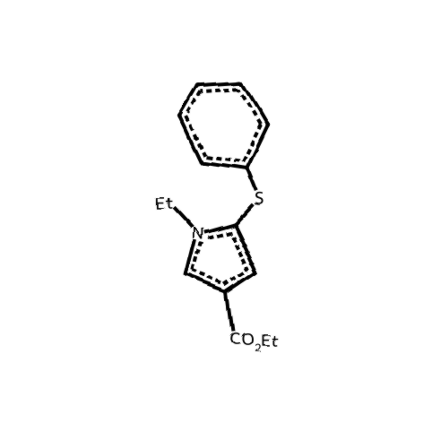 CCOC(=O)c1cc(Sc2ccccc2)n(CC)c1